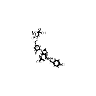 O=P(O)(O)CP(=O)(O)OC[C@@H]1C[C@H](F)[C@H](n2cnc3c(NCc4ccc(Cl)cc4)nc(Cl)nc32)O1